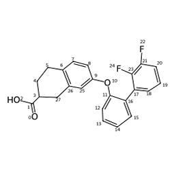 O=C(O)C1CCc2ccc(Oc3ccccc3-c3cccc(F)c3F)cc2C1